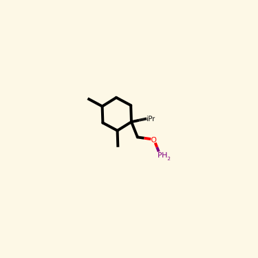 CC1CCC(COP)(C(C)C)C(C)C1